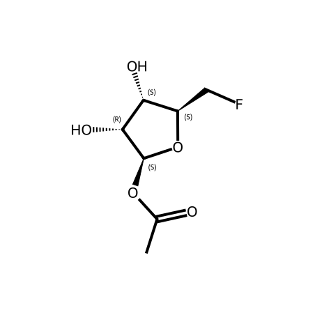 CC(=O)O[C@@H]1O[C@H](CF)[C@@H](O)[C@H]1O